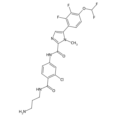 Cn1c(-c2ccc(OC(F)F)c(F)c2F)cnc1C(=O)Nc1ccc(C(=O)NCCCN)c(Cl)c1